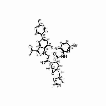 CC(=O)c1nn(CC(=O)N2[C@H](C(=O)Nc3nc(Br)ccc3C)C[C@@]3(Cc4nnco4)C[C@@H]23)c2c(C)cc(-c3cnc(C)nc3)cc12